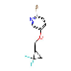 FC1(F)CC1COc1ccc(Br)nc1